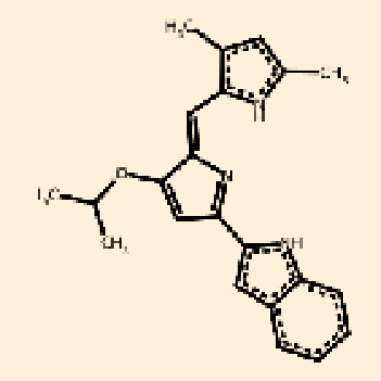 Cc1cc(C)c(C=C2N=C(c3cc4ccccc4[nH]3)C=C2OC(C)C)[nH]1